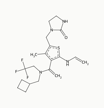 C=CNc1sc(CN2CCNC2=O)c(C)c1C(=C)N(CC1CCC1)CC(F)(F)F